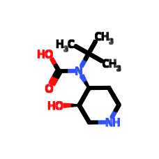 CC(C)(C)N(C(=O)O)[C@H]1CCNC[C@H]1O